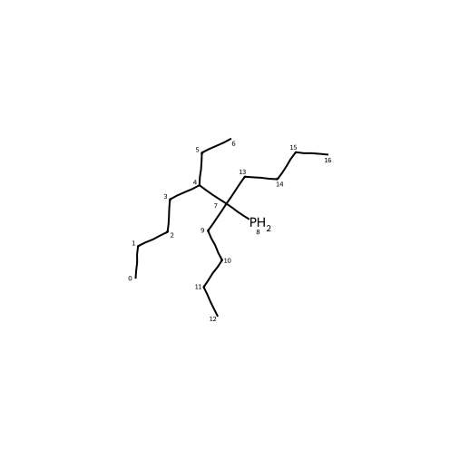 CCCCC(CC)C(P)(CCCC)CCCC